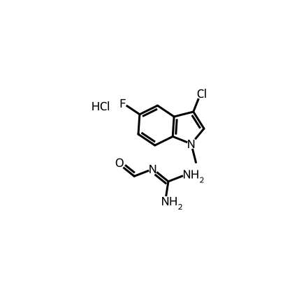 Cl.Cn1cc(Cl)c2cc(F)ccc21.NC(N)=NC=O